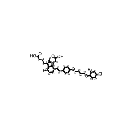 Cc1c(CCCC(=O)O)c2c(F)ccc(C=Cc3ccc(OCC=CCOc4ccc(Cl)cc4F)cc3)c2n1CC(=O)O